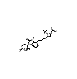 Cn1c(=O)n(C2CCC(=O)NC2=O)c2cccc(CCCOC3CN(C(=O)O)C3C(C)(C)C)c21